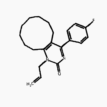 C=CCn1c2c(c(-c3ccc(F)cc3)nc1=O)CCCCCCCC2